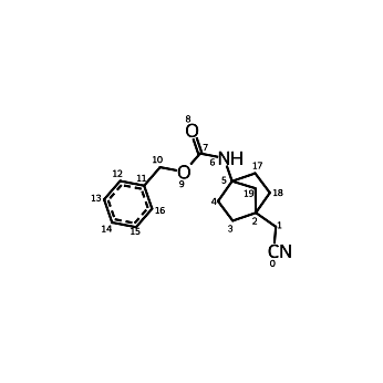 N#CCC12CCC(NC(=O)OCc3ccccc3)(CC1)C2